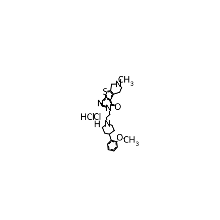 COc1ccccc1C1CCN(CCn2cnc3sc4c(c3c2=O)CCN(C)C4)CC1.Cl.Cl